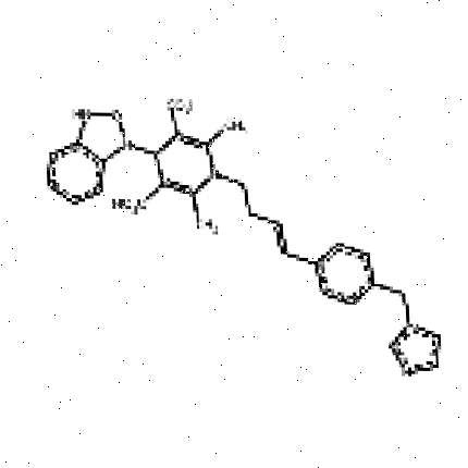 CC1=C(C(=O)O)C(N2ONc3ccccc32)C(C(=O)O)=C(C)N1CCC=Cc1ccc(Cn2ccnc2)cc1